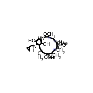 CO[C@H]1/C=C\C=C(/C)C(=O)Nc2cc(O)c(NCC3CC3)c(c2O)C[C@@H](C)C[C@H](OC)[C@H](O)[C@@H](C)/C=C(\C)[C@@H]1OC(N)=O